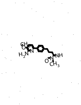 CCN(C=O)C(=N)CCCc1ccc(-c2ccc(OC)c(N)n2)cc1